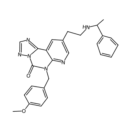 COc1ccc(Cn2c(=O)n3ncnc3c3cc(CCNC(C)c4ccccc4)cnc32)cc1